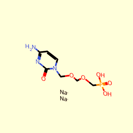 Nc1ccn(COCOCP(=O)(O)O)c(=O)n1.[Na].[Na]